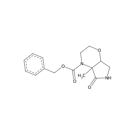 CC12C(=O)NCC1OCCN2C(=O)OCc1ccccc1